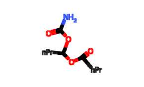 CCCC(=O)OC(CCC)OC(N)=O